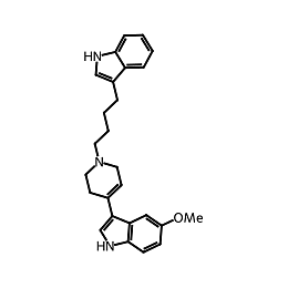 COc1ccc2[nH]cc(C3=CCN(CCCCc4c[nH]c5ccccc45)CC3)c2c1